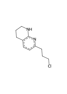 ClCCCc1ccc2c(n1)NCCC2